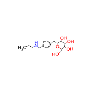 CCCNCc1ccc(CC2OC(CO)C(O)C(O)C2O)cc1